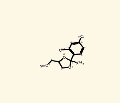 COCC1COC(C)(c2ccc(Cl)cc2Cl)O1